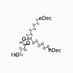 CCCCCCCCCCCCCCCCCC1(CCCCCCCCCCCCCCCCC)OC[C@H](CCCO)O1